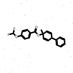 CC1(OC(=O)c2ccc(OC(F)F)cc2)C=CC(c2ccccc2)C=C1